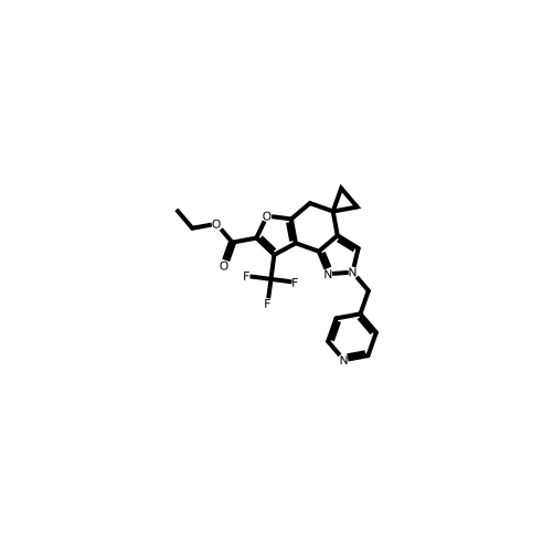 CCOC(=O)c1oc2c(c1C(F)(F)F)-c1nn(Cc3ccncc3)cc1C1(CC1)C2